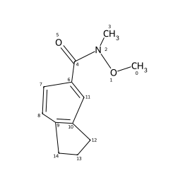 CON(C)C(=O)c1ccc2c(c1)CCC2